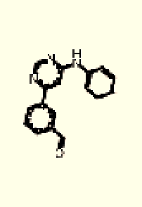 O=Cc1cccc(-c2cc(NC3=CC[CH]C=C3)ncn2)c1